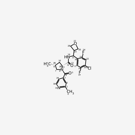 Cc1cc(C(=O)N2C[C@H](C)C[C@@H]2C(=O)NC(c2cc(F)c(Cl)cc2F)C2COC2)ccn1